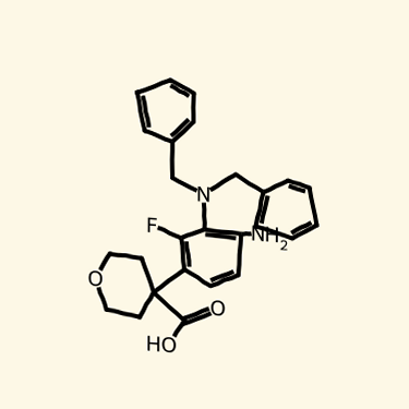 Nc1ccc(C2(C(=O)O)CCOCC2)c(F)c1N(Cc1ccccc1)Cc1ccccc1